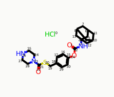 Cl.O=C(NC12CC3CC(CC(C3)C1)C2)Oc1ccc(CSC(=O)N2CCNCC2)cc1